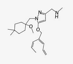 C=C/C=C(\C=C/C)COc1cc(CNC)nn1CC1(OC)CCC(C)(C)CC1